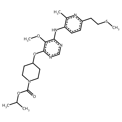 COc1c(Nc2ccc(CCSC)nc2C)ncnc1OC1CCN(C(=O)OC(C)C)CC1